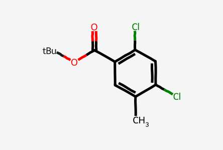 Cc1cc(C(=O)OC(C)(C)C)c(Cl)cc1Cl